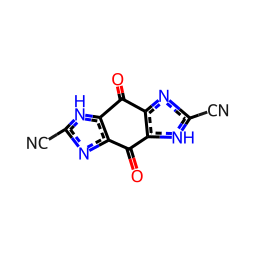 N#Cc1nc2c([nH]1)C(=O)c1nc(C#N)[nH]c1C2=O